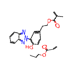 C=C(C)C(=O)OCCc1ccc(O)c(-n2nc3ccccc3n2)c1.C=CC(=O)OCCC